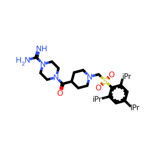 CC(C)c1cc(C(C)C)c(S(=O)(=O)CN2CCC(C(=O)N3CCN(C(=N)N)CC3)CC2)c(C(C)C)c1